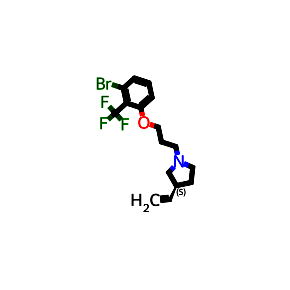 C=C[C@@H]1CCN(CCCOc2cccc(Br)c2C(F)(F)F)C1